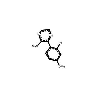 CNc1nccnc1-c1ccc(OC)cc1Cl